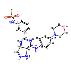 CS(=O)(=O)Nc1cccc(-c2nc(Nc3ccc(N4CCOCC4)cc3)c3[nH]ncc3n2)c1